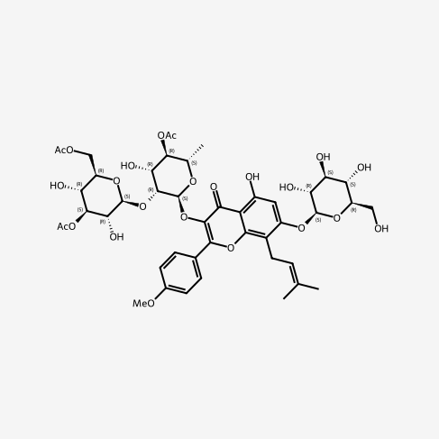 COc1ccc(-c2oc3c(CC=C(C)C)c(O[C@@H]4O[C@H](CO)[C@@H](O)[C@H](O)[C@H]4O)cc(O)c3c(=O)c2O[C@@H]2O[C@@H](C)[C@H](OC(C)=O)[C@@H](O)[C@H]2O[C@@H]2O[C@H](COC(C)=O)[C@@H](O)[C@H](OC(C)=O)[C@H]2O)cc1